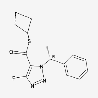 C[C@H](c1ccccc1)n1nnc(F)c1C(=O)SC1CCC1